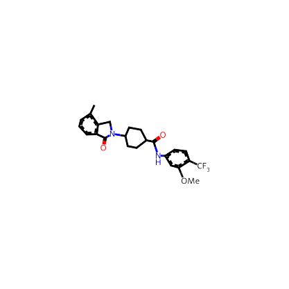 COc1cc(NC(=O)C2CCC(N3Cc4c(C)cccc4C3=O)CC2)ccc1C(F)(F)F